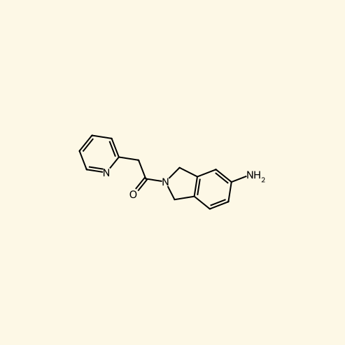 Nc1ccc2c(c1)CN(C(=O)Cc1ccccn1)C2